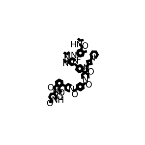 Cc1cc(F)c(Nc2nc(-c3ccc4c(c3)N(C3CC(N5CCCCC5)C3)C(=O)C43CCN(C(=O)c4ccc(C(=O)N5CCC(c6cccc7c6C(=O)N(C6CCC(=O)NC6=O)C7=O)CC5)cc4)CC3)cc3ncn(C(C)C)c23)cc1C(=O)NC(C)C